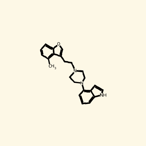 Cc1cccc2occ(CCN3CCN(c4cccc5[nH]ccc45)CC3)c12